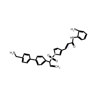 C=CC(c1ccc(-c2ccc(CN)cc2)cc1)S(=O)(=O)n1ccc(/C=C/C(=O)Nc2ccccc2N)c1